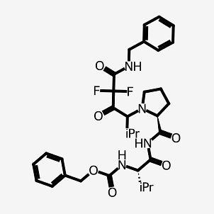 CC(C)C(C(=O)C(F)(F)C(=O)NCc1ccccc1)N1CCC[C@H]1C(=O)NC(=O)[C@@H](NC(=O)OCc1ccccc1)C(C)C